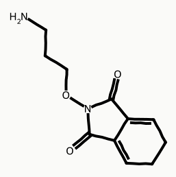 NCCCON1C(=O)C2=CCCC=C2C1=O